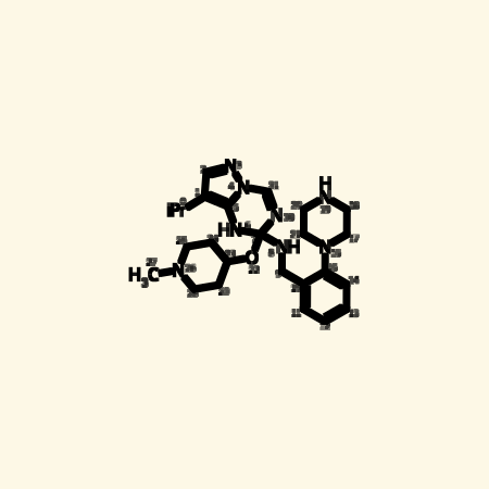 CC(C)c1cnn2c1NC(NCc1ccccc1N1CCNCC1)(OC1CCN(C)CC1)N=C2